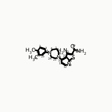 Cc1ccc(N2CCCN(c3ccnc4sc(C(N)=O)c(N)c34)CC2)cc1C